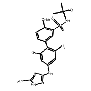 CCC(C)(C)NS(=O)(=O)c1cc(-c2c(Cl)cc(Nc3n[nH]c(N)n3)cc2C(F)(F)F)ccc1OC